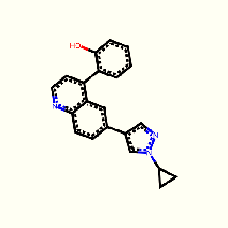 Oc1ccccc1-c1ccnc2ccc(-c3cnn(C4CC4)c3)cc12